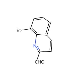 CCc1cccc2ccc(C=O)nc12